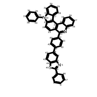 c1ccc(-c2nc3cc(-c4ccc(-c5nc6ccccc6c6c5ccc5c6c6ccccc6n5-c5ccccc5)cc4)ccc3s2)cc1